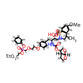 CCOC(=O)COP(=O)(COCCOc1ccc(C[C@H](NC(=O)O[C@H]2CO[C@H]3OCC[C@H]32)[C@H](O)CN2CC(C)c3cc(OC)ccc3S2(=O)=O)cc1)Oc1ccccc1